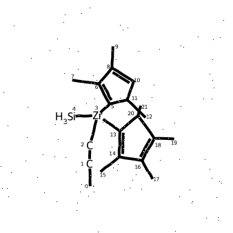 [CH2]C[CH2][Zr]([SiH3])([C]1=C(C)C(C)=CC1C)[C]1=C(C)C(C)=C(C)C1C